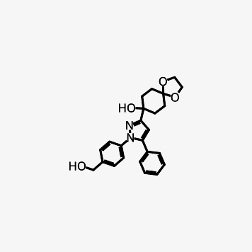 OCc1ccc(-n2nc(C3(O)CCC4(CC3)OCCO4)cc2-c2ccccc2)cc1